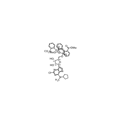 COC(=O)c1ccccc1OP(=O)(CP(=O)(Oc1ccccc1C(=O)O)Oc1ccccc1C(=O)OC)OC[C@H]1O[C@@H](n2cnc3c(N(C)C4CCCC4)nc(Cl)nc32)[C@H](O)[C@@H]1O